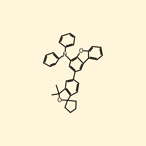 CC1(C)OC2(CCCC2)c2ccc(-c3cc(N(c4ccccc4)c4ccccc4)c4oc5ccccc5c4c3)cc21